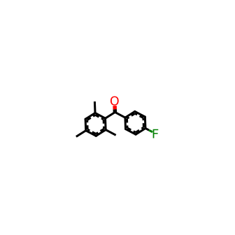 Cc1cc(C)c(C(=O)c2ccc(F)cc2)c(C)c1